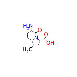 CC1C[C@@H](C(=O)O)N2C(=O)[C@@H](N)CCC12